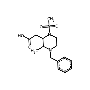 CC1C(CC(=O)O)N(S(C)(=O)=O)CCN1Cc1ccccc1